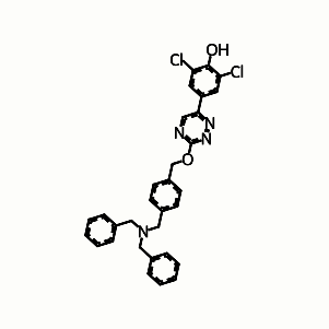 Oc1c(Cl)cc(-c2cnc(OCc3ccc(CN(Cc4ccccc4)Cc4ccccc4)cc3)nn2)cc1Cl